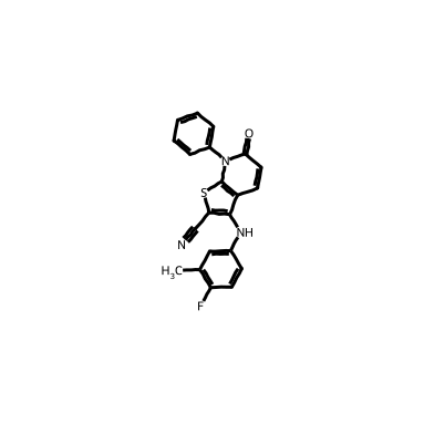 Cc1cc(Nc2c(C#N)sc3c2ccc(=O)n3-c2ccccc2)ccc1F